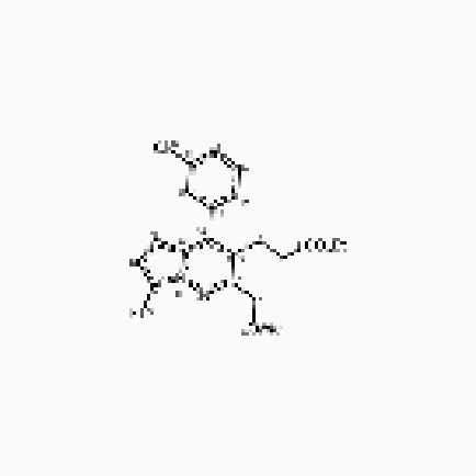 CCOC(=O)CCc1c(COC)nn2c(CC)ccc2c1-c1cccc(Cl)c1